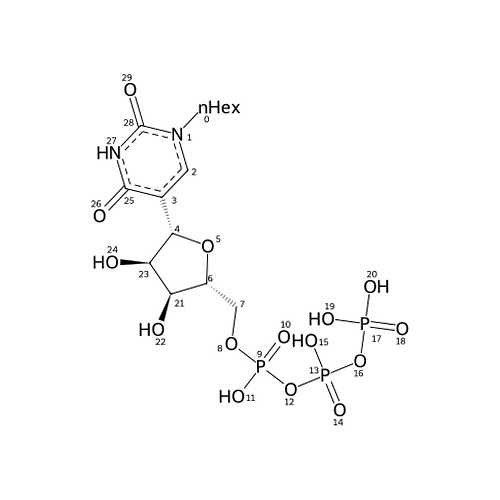 CCCCCCn1cc([C@@H]2O[C@H](COP(=O)(O)OP(=O)(O)OP(=O)(O)O)[C@@H](O)[C@H]2O)c(=O)[nH]c1=O